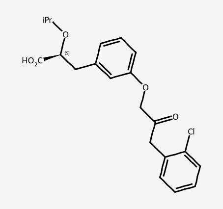 CC(C)O[C@@H](Cc1cccc(OCC(=O)Cc2ccccc2Cl)c1)C(=O)O